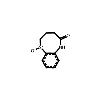 O=C1CCC[S+]([O-])c2ccccc2N1